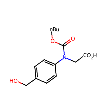 CCCCOC(=O)N(CC(=O)O)c1ccc(CO)cc1